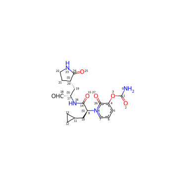 NC(=O)Oc1cccn([C@@H](CC2CC2)C(=O)N[C@H](C=O)C[C@@H]2CCNC2=O)c1=O